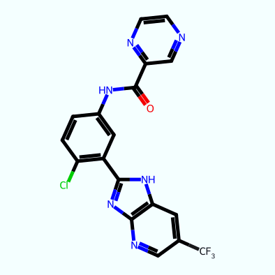 O=C(Nc1ccc(Cl)c(-c2nc3ncc(C(F)(F)F)cc3[nH]2)c1)c1cnccn1